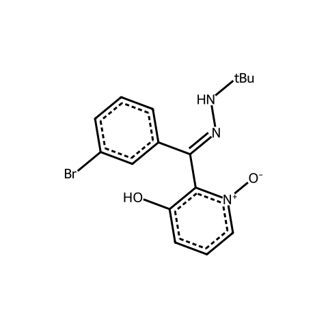 CC(C)(C)N/N=C(\c1cccc(Br)c1)c1c(O)ccc[n+]1[O-]